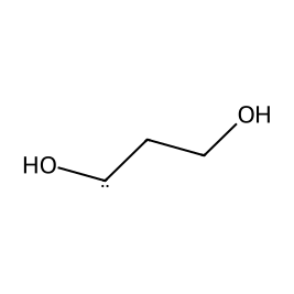 O[C]CCO